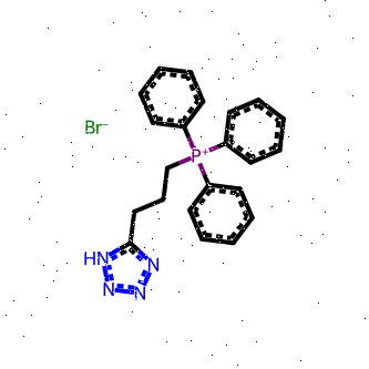 [Br-].c1ccc([P+](CCCc2nnn[nH]2)(c2ccccc2)c2ccccc2)cc1